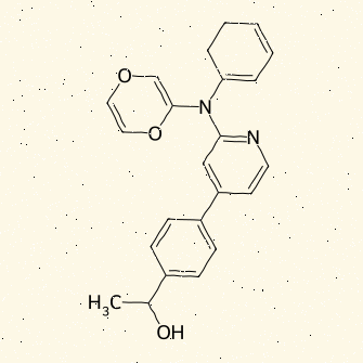 CC(O)c1ccc(-c2ccnc(N(C3=CC=CCC3)C3=COC=CO3)c2)cc1